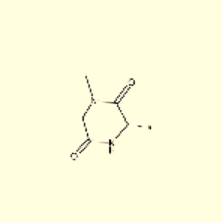 C[C@@H]1NC(=O)CN(C)C1=O